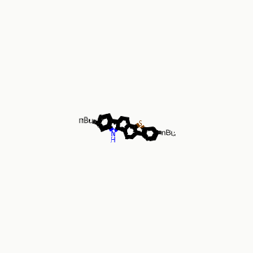 CCCCc1ccc2c(c1)[nH]c1c2ccc2c1ccc1c3ccc(CCCC)cc3sc12